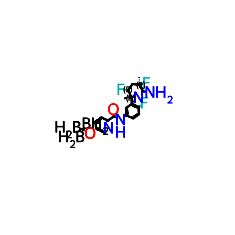 BC(B)(B)Oc1ccc(C(=O)Nc2ccc(F)c([C@@]3(C)N=C(N)[C@](C)(F)C[C@@H]3F)c2)nc1